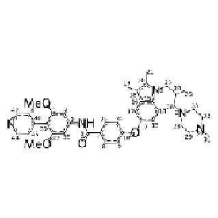 COc1cc(NC(=O)c2ccc(Oc3ccc4c(c3)c(C)c(C)n4CC(C)CN3CCN(C)CC3)cc2)cc(OC)c1-c1ccncc1